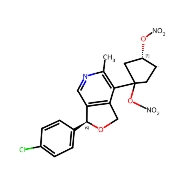 Cc1ncc2c(c1C1(O[N+](=O)[O-])C[CH][C@@H](O[N+](=O)[O-])C1)CO[C@H]2c1ccc(Cl)cc1